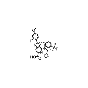 COc1ccc(-c2nc3nc(C(=O)O)nc(N[C@H](C)C4CCC4)c3n2Cc2ccc(C(F)(F)F)cc2)c(F)c1